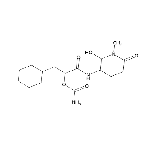 CN1C(=O)CCC(NC(=O)C(CC2CCCCC2)OC(N)=O)C1O